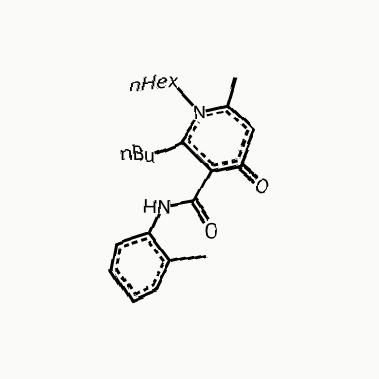 CCCCCCn1c(C)cc(=O)c(C(=O)Nc2ccccc2C)c1CCCC